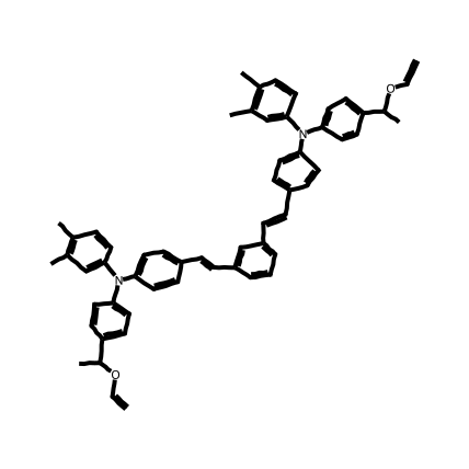 C=COC(C)c1ccc(N(c2ccc(C=Cc3cccc(C=Cc4ccc(N(c5ccc(C(C)OC=C)cc5)c5ccc(C)c(C)c5)cc4)c3)cc2)c2ccc(C)c(C)c2)cc1